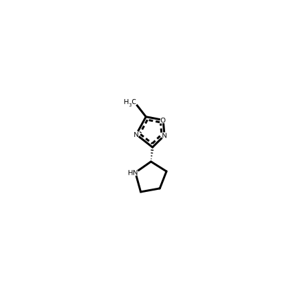 Cc1nc([C@@H]2CCCN2)no1